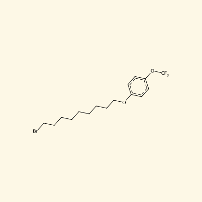 FC(F)(F)Oc1ccc(OCCCCCCCCCBr)cc1